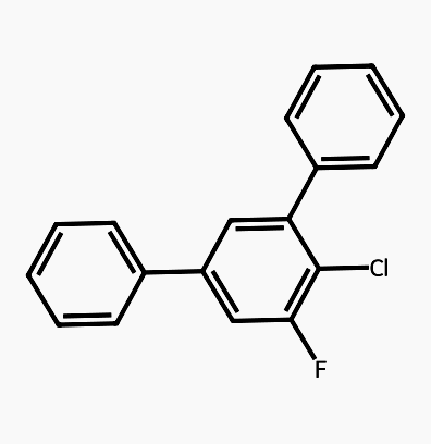 Fc1cc(-c2ccccc2)cc(-c2ccccc2)c1Cl